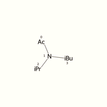 [CH2]C(=O)N(C(C)C)C(C)CC